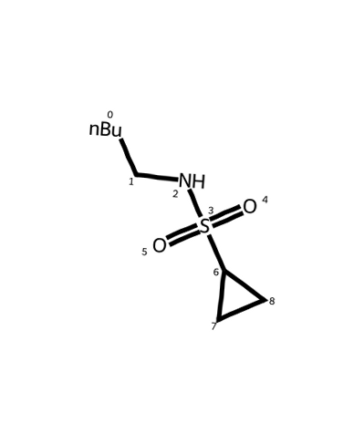 CCCCCNS(=O)(=O)C1CC1